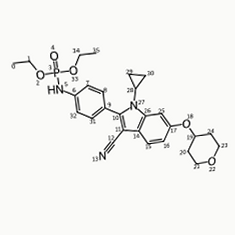 CCOP(=O)(Nc1ccc(-c2c(C#N)c3ccc(OC4CCOCC4)cc3n2C2CC2)cc1)OCC